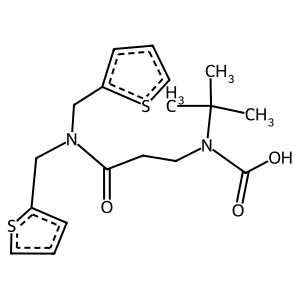 CC(C)(C)N(CCC(=O)N(Cc1cccs1)Cc1cccs1)C(=O)O